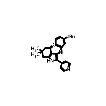 CC1(C)CC(=O)c2c([nH]c(-c3ccncc3)c2Nc2cccc(C(C)(C)C)c2)C1